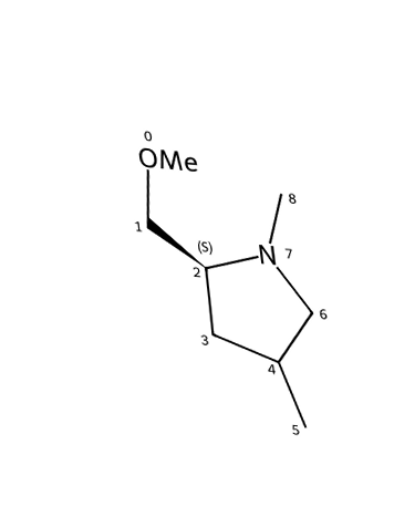 COC[C@@H]1CC(C)CN1C